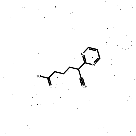 C#CC(CCCC(=O)O)c1ncccn1